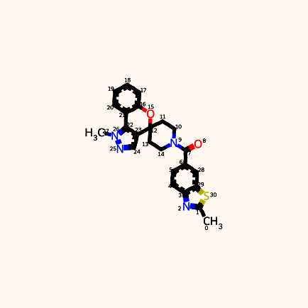 Cc1nc2ccc(C(=O)N3CCC4(CC3)Oc3ccccc3-c3c4cnn3C)cc2s1